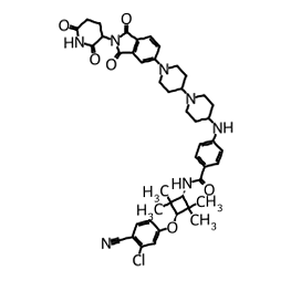 CC1(C)[C@H](NC(=O)c2ccc(NC3CCN(C4CCN(c5ccc6c(c5)C(=O)N(C5CCC(=O)NC5=O)C6=O)CC4)CC3)cc2)C(C)(C)[C@H]1Oc1ccc(C#N)c(Cl)c1